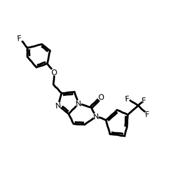 O=c1n(-c2cccc(C(F)(F)F)c2)ccc2nc(COc3ccc(F)cc3)cn12